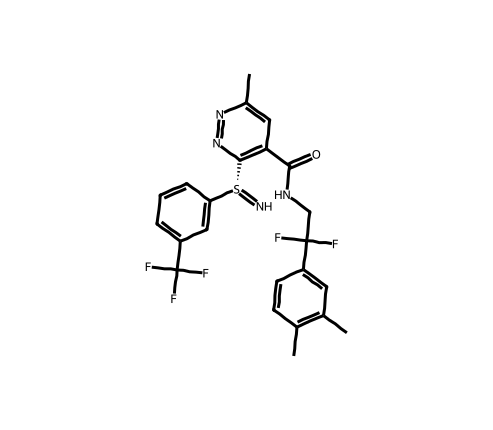 Cc1cc(C(=O)NCC(F)(F)c2ccc(C)c(C)c2)c([S@](=N)c2cccc(C(F)(F)F)c2)nn1